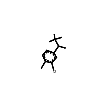 Cc1ccc(C(C)C(C)(C)C)cc1Cl